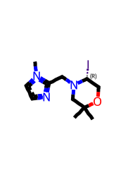 Cn1ccnc1CN1CC(C)(C)OC[C@H]1I